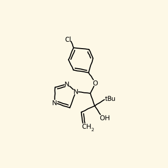 C=CC(O)(C(Oc1ccc(Cl)cc1)n1cncn1)C(C)(C)C